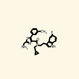 Cc1cccc(-c2sc(CN)nc2C(=O)N(CCc2c[nH]c3ccc(F)cc23)CC2CC2)c1